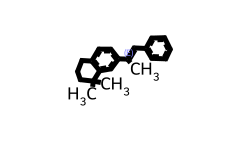 C/C(=C\c1ccccc1)c1ccc2c(c1)C(C)(C)CCC2